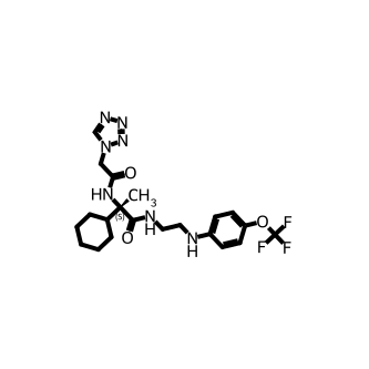 C[C@@](NC(=O)Cn1cnnn1)(C(=O)NCCNc1ccc(OC(F)(F)F)cc1)C1CCCCC1